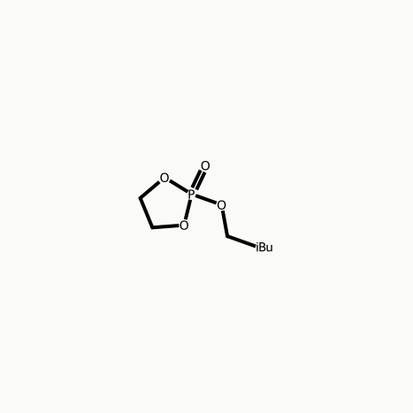 CCC(C)COP1(=O)OCCO1